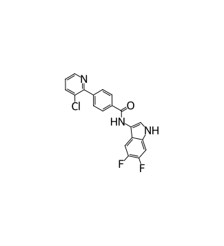 O=C(Nc1c[nH]c2cc(F)c(F)cc12)c1ccc(-c2ncccc2Cl)cc1